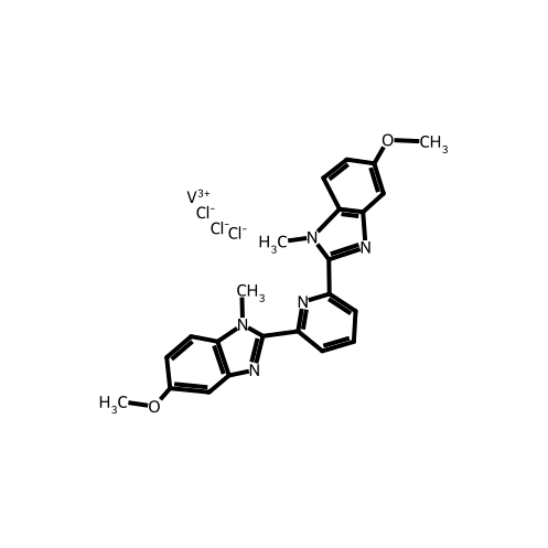 COc1ccc2c(c1)nc(-c1cccc(-c3nc4cc(OC)ccc4n3C)n1)n2C.[Cl-].[Cl-].[Cl-].[V+3]